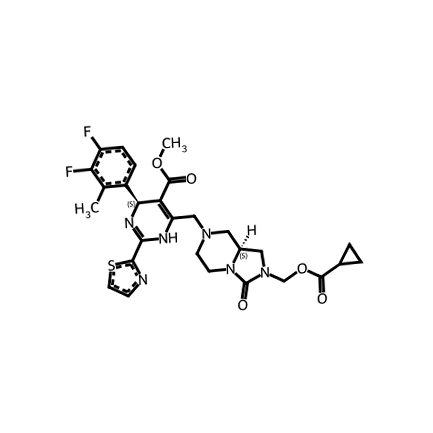 COC(=O)C1=C(CN2CCN3C(=O)N(COC(=O)C4CC4)C[C@@H]3C2)NC(c2nccs2)=N[C@H]1c1ccc(F)c(F)c1C